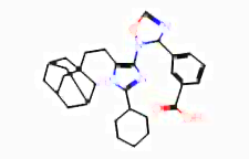 O=C(O)c1cccc(C2N=CON2c2nc(C3CCCCC3)[nH]c2CCC23CC4CC(CC(C4)C2)C3)c1